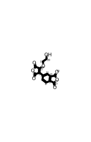 O=C1OC(=O)C(c2ccc3c(c2)C(=O)OC3=O)=C1OCCO